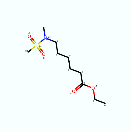 CCOC(=O)CCCCCN(C)S(C)(=O)=O